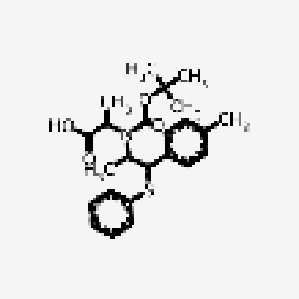 Cc1ccc(C(Sc2ccccc2)C(C)N(C(=O)OC(C)(C)C)C(C)C(=O)O)cc1